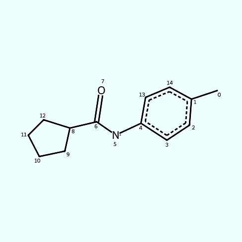 Cc1ccc([N]C(=O)C2CCCC2)cc1